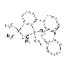 CC(C)(C)c1cccc(-c2cccc3c2oc2ccccc23)c1C(C)(C)C